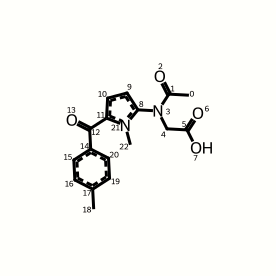 CC(=O)N(CC(=O)O)c1ccc(C(=O)c2ccc(C)cc2)n1C